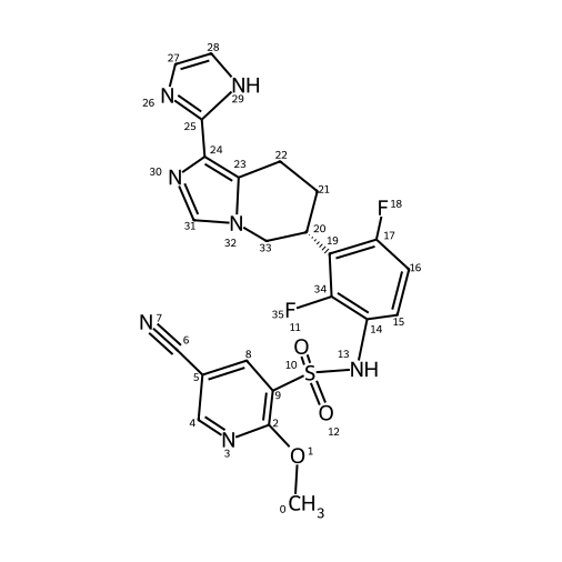 COc1ncc(C#N)cc1S(=O)(=O)Nc1ccc(F)c([C@H]2CCc3c(-c4ncc[nH]4)ncn3C2)c1F